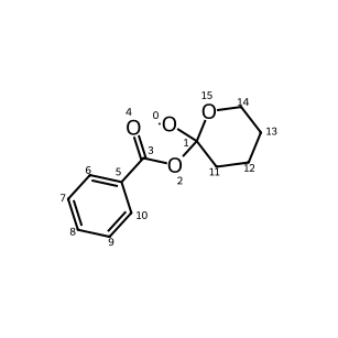 [O]C1(OC(=O)c2ccccc2)CCCCO1